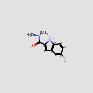 CN(C)C(=O)c1cc2cc(F)ccc2[nH]1